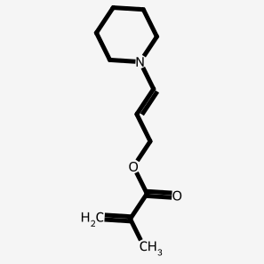 C=C(C)C(=O)OCC=CN1CCCCC1